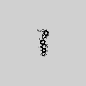 COc1cccc(CNc2cc3c(cc2F)C(=O)c2cc4c(cc2OC3)OCO4)c1